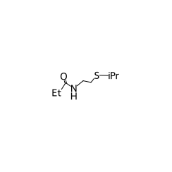 CCC(=O)NCCSC(C)C